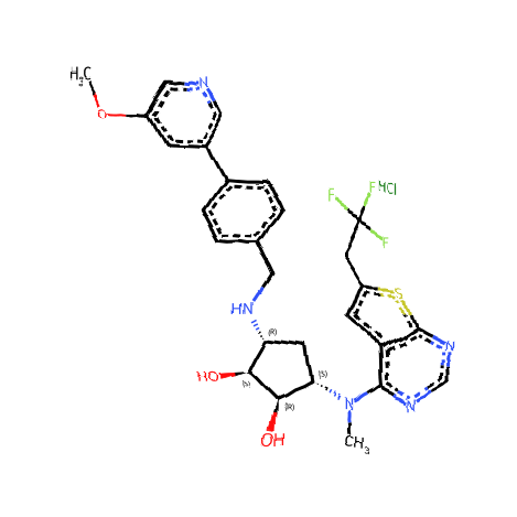 COc1cncc(-c2ccc(CN[C@@H]3C[C@H](N(C)c4ncnc5sc(CC(F)(F)F)cc45)[C@@H](O)[C@H]3O)cc2)c1.Cl